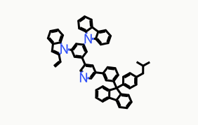 C=Cc1cc2ccccc2n1-c1cc(-c2cncc(-c3cccc(C4(c5ccc(CC(C)C)cc5)c5ccccc5-c5ccccc54)c3)c2)cc(-n2c3ccccc3c3ccccc32)c1